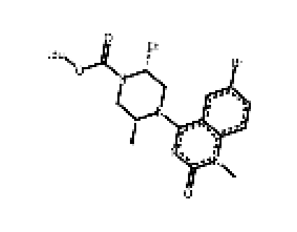 CC[C@@H]1CN(c2nc(=O)n(C)c3ccc(Br)cc23)[C@@H](C)CN1C(=O)OC(C)(C)C